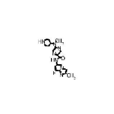 Cc1cn2cc(NC(=O)c3cnc(N(C)C4CCNCC4)cn3)cc(F)c2n1